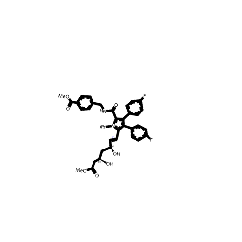 COC(=O)C[C@H](O)C[C@H](O)/C=C/c1c(-c2ccc(F)cc2)c(-c2ccc(F)cc2)c(C(=O)NCc2ccc(C(=O)OC)cc2)n1C(C)C